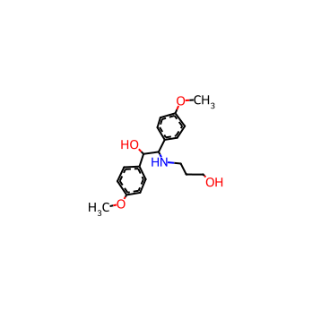 COc1ccc(C(O)C(NCCCO)c2ccc(OC)cc2)cc1